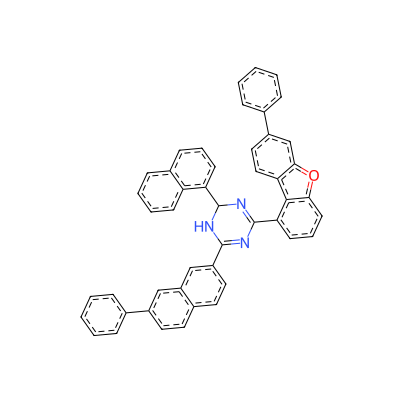 c1ccc(-c2ccc3ccc(C4=NC(c5cccc6oc7cc(-c8ccccc8)ccc7c56)=NC(c5cccc6ccccc56)N4)cc3c2)cc1